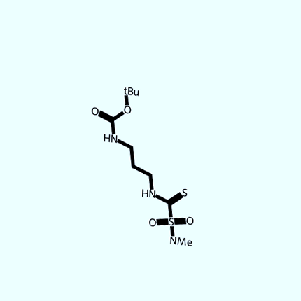 CNS(=O)(=O)C(=S)NCCCNC(=O)OC(C)(C)C